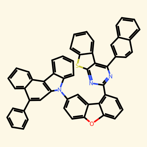 c1ccc(-c2cc3c(c4ccccc24)c2ccccc2n3-c2ccc3oc4cccc(-c5nc(-c6ccc7ccccc7c6)c6c(n5)sc5ccccc56)c4c3c2)cc1